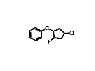 FC1CC(Cl)CC1Oc1cc[c]cc1